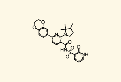 CC1CCN(c2nc(-c3ccc4c(c3)OCCO4)ccc2C(=O)NS(=O)(=O)c2ccc[nH]c2=O)C1(C)C